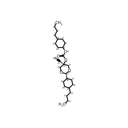 CCCCC1CCC(OC(=O)O[C@]2(C#N)CO[C@@H](C3CCC(CCCC)CC3)OC2)CC1